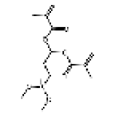 C=C(C)C(=O)OC(CC[SiH](OC)OC)OC(=O)C(=C)C